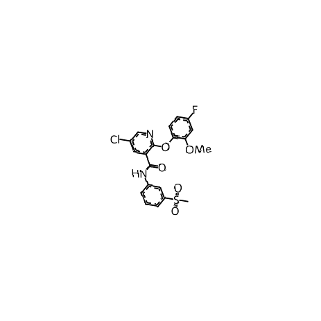 COc1cc(F)ccc1Oc1ncc(Cl)cc1C(=O)Nc1cccc(S(C)(=O)=O)c1